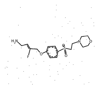 NCC=C(F)COc1ccc(S(=O)(=O)CCN2CCOCC2)cc1